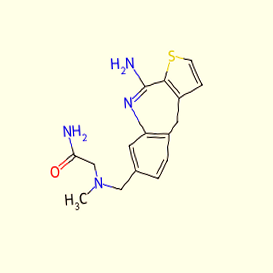 CN(CC(N)=O)Cc1ccc2c(c1)N=C(N)c1sccc1C2